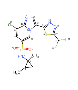 CC1CC1(C)NS(=O)(=O)c1cc(Cl)c2ncc(-c3nnc(C(F)F)s3)n2c1